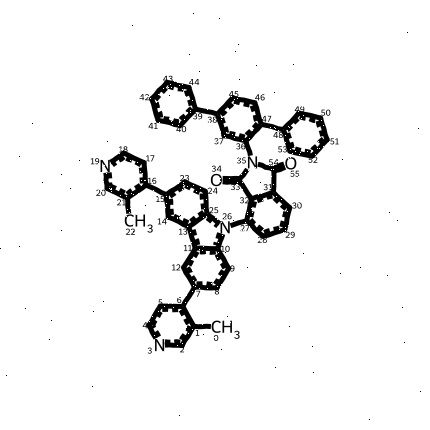 Cc1cnccc1-c1ccc2c(c1)c1cc(-c3ccncc3C)ccc1n2-c1cccc2c1C(=O)N(c1cc(-c3ccccc3)ccc1-c1ccccc1)C2=O